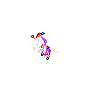 CCC(C)(OC(C)CC(C)(C)OC(=O)Nc1ccc(C)c(NC(=O)OCCN2c3ccccc3C(C)(C)C23C=Cc2cc(C(=O)c4ccccc4)ccc2O3)c1)C(=O)Nc1ccc(C)c(NC(=O)OCCN2c3ccccc3C(C)(C)C23C=Cc2cc(C(=O)c4ccccc4)ccc2O3)c1